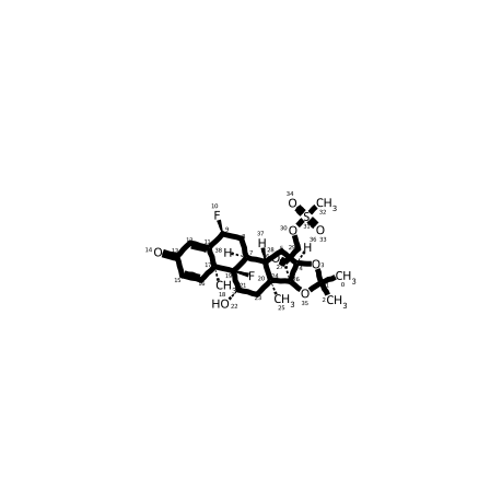 CC1(C)O[C@@H]2C[C@H]3[C@@H]4C[C@H](F)C5=CC(=O)C=C[C@]5(C)[C@@]4(F)[C@@H](O)C[C@]3(C)[C@]2(C(=O)COS(C)(=O)=O)O1